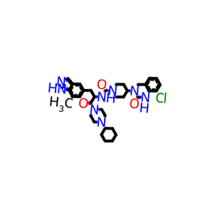 Cc1cc(CC(NC(=O)N2CCC(N3Cc4cccc(Cl)c4NC3=O)CC2)C(=O)N2CCN(C3CCCCC3)CC2)cc2cn[nH]c12